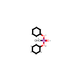 O=CP(=O)(OC1CCCCC1)OC1CCCCC1